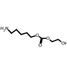 NCCCCCOC(=O)OCCO